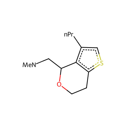 CCCc1csc2c1C(CNC)OCC2